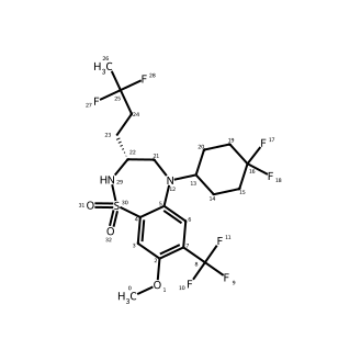 COc1cc2c(cc1C(F)(F)F)N(C1CCC(F)(F)CC1)C[C@@H](CCC(C)(F)F)NS2(=O)=O